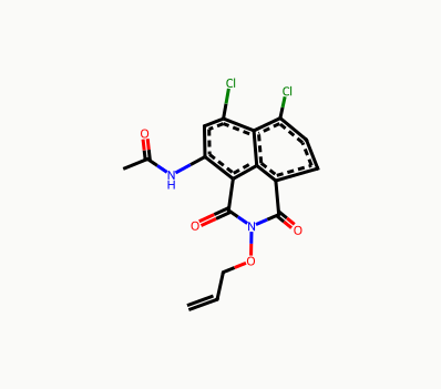 C=CCON1C(=O)c2ccc(Cl)c3c(Cl)cc(NC(C)=O)c(c23)C1=O